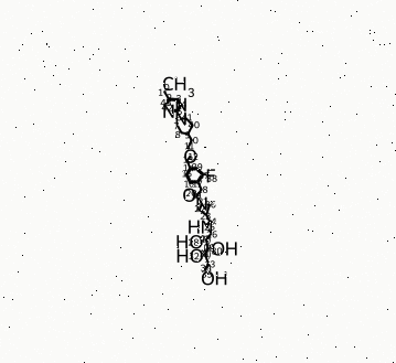 CCc1cnc(N2CCC(CCOCc3ccc(CC(=O)N4CC(CNC[C@@H](O)[C@H](O)[C@@H](O)CCO)C4)c(F)c3)CC2)nc1